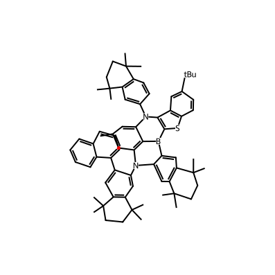 Cc1cc2c3c(c1)N(c1ccc4c(c1)C(C)(C)CCC4(C)C)c1c(sc4ccc(C(C)(C)C)cc14)B3c1cc3c(cc1N2c1cc2c(cc1-c1cccc4ccccc14)C(C)(C)CCC2(C)C)C(C)(C)CCC3(C)C